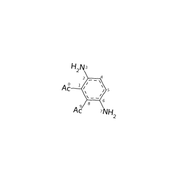 CC(=O)c1c(N)ccc(N)c1C(C)=O